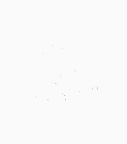 Nc1ccc(N2c3ccccc3Oc3cccc(N)c32)cc1